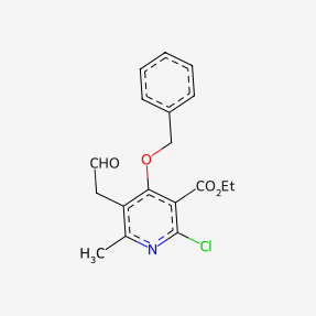 CCOC(=O)c1c(Cl)nc(C)c(CC=O)c1OCc1ccccc1